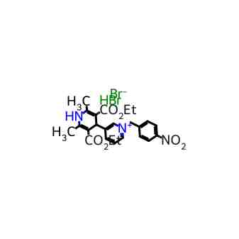 Br.CCOC(=O)C1=C(C)NC(C)=C(C(=O)OCC)C1c1ccc[n+](Cc2ccc([N+](=O)[O-])cc2)c1.[Br-]